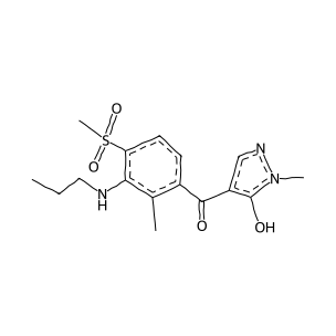 CCCNc1c(S(C)(=O)=O)ccc(C(=O)c2cnn(C)c2O)c1C